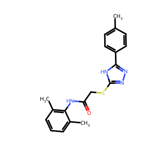 Cc1ccc(-c2nnc(SCC(=O)Nc3c(C)cccc3C)[nH]2)cc1